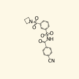 N#Cc1ccc(C(=O)NS(=O)(=O)c2cccc(S(=O)(=O)N3CCC3)c2)cc1